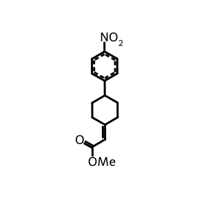 COC(=O)C=C1CCC(c2ccc([N+](=O)[O-])cc2)CC1